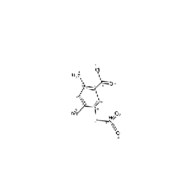 CCCc1cc(C)c(C(=O)Cl)cc1C[SH](=O)=O